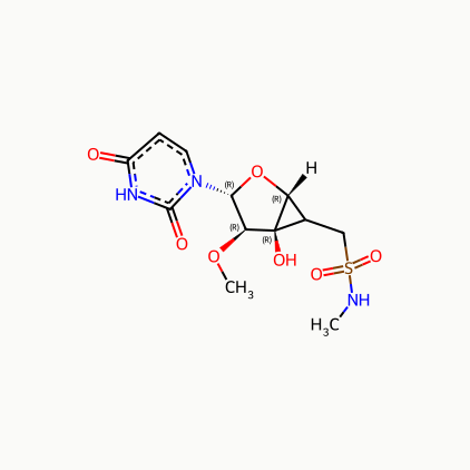 CNS(=O)(=O)CC1[C@H]2O[C@@H](n3ccc(=O)[nH]c3=O)[C@H](OC)[C@@]12O